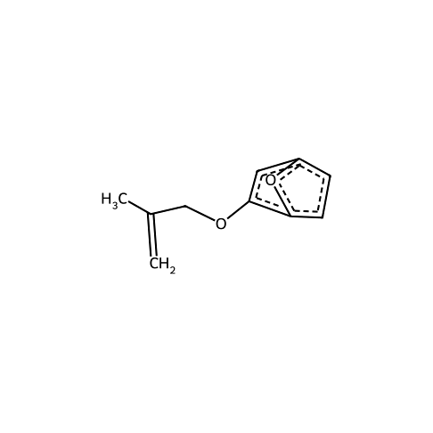 C=C(C)COc1cc2ccc1o2